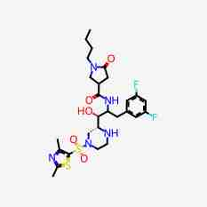 CCCCN1CC(C(=O)NC(Cc2cc(F)cc(F)c2)[C@H](O)[C@H]2CN(S(=O)(=O)c3sc(C)nc3C)CCN2)CC1=O